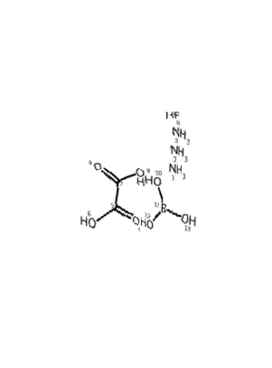 F.N.N.N.O=C(O)C(=O)O.OB(O)O